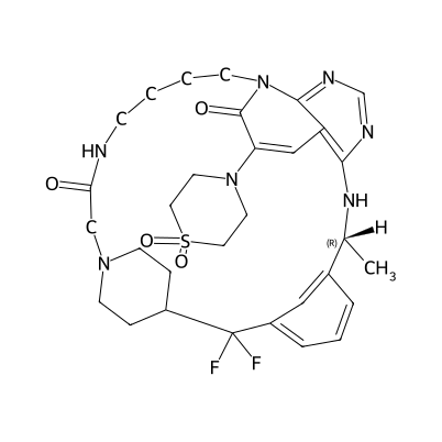 C[C@H]1Nc2ncnc3c2cc(N2CCS(=O)(=O)CC2)c(=O)n3CCCCNC(=O)CN2CCC(CC2)C(F)(F)c2cccc1c2